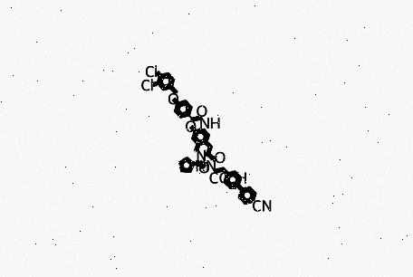 N#Cc1ccc(-c2ccc(C[C@H](NC(=O)C3Cc4cc5c(cc4CN3C(=O)C3CCCC3)O[C@@H](c3ccc(OCc4ccc(Cl)c(Cl)c4)cc3)C(=O)N5)C(=O)O)cc2)cc1